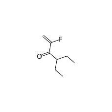 C=C(F)C(=O)C(CC)CC